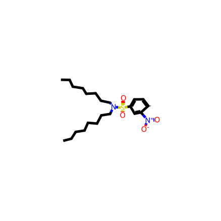 CCCCCCCCN(CCCCCCCC)S(=O)(=O)c1cc[c]c([N+](=O)[O-])c1